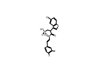 O=C(NC=Cc1ccc(F)c(F)c1)C(CP(=O)(O)O)c1csc2ccc(Cl)cc12